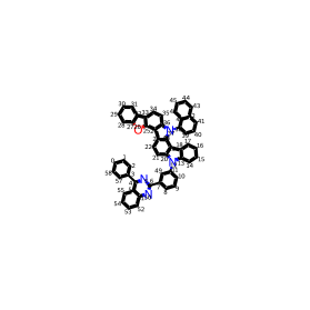 c1ccc(-c2nc(-c3cccc(-n4c5ccccc5c5c4ccc4c6c7oc8ccccc8c7ccc6n(-c6cccc7ccccc67)c45)c3)nc3ccccc23)cc1